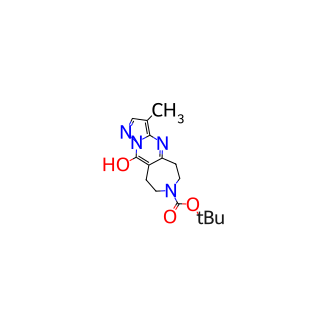 Cc1cnn2c(O)c3c(nc12)CCN(C(=O)OC(C)(C)C)CC3